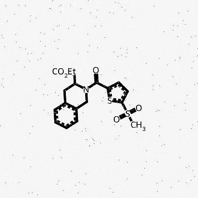 CCOC(=O)C1Cc2ccccc2CN1C(=O)c1ccc(S(C)(=O)=O)s1